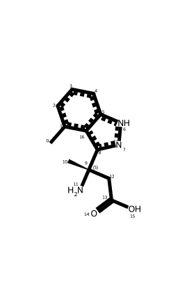 Cc1cccc2[nH]nc([C@@](C)(N)CC(=O)O)c12